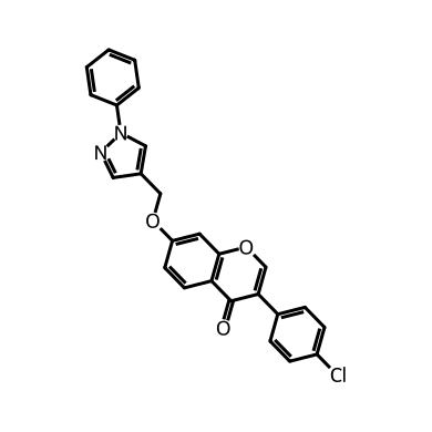 O=c1c(-c2ccc(Cl)cc2)coc2cc(OCc3cnn(-c4ccccc4)c3)ccc12